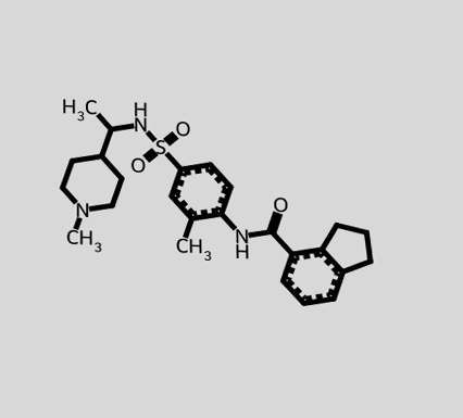 Cc1cc(S(=O)(=O)NC(C)C2CCN(C)CC2)ccc1NC(=O)c1cccc2c1CCC2